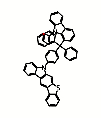 c1ccc(-n2c3ccccc3c3cccc(C(c4ccccc4)(c4ccccc4)c4ccc(-n5c6ccccc6c6cc7c(cc65)sc5ccccc57)cc4)c32)cc1